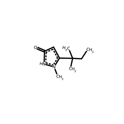 CCC(C)(C)c1cc(=O)[nH]n1C